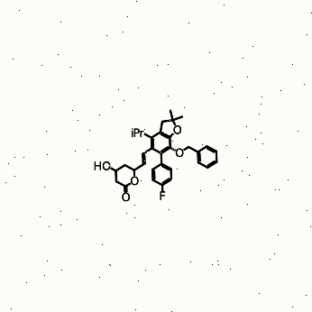 CC(C)c1c(/C=C/C2CC(O)CC(=O)O2)c(-c2ccc(F)cc2)c(OCc2ccccc2)c2c1CC(C)(C)O2